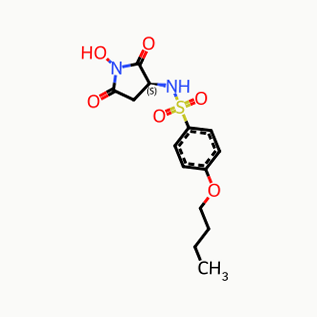 CCCCOc1ccc(S(=O)(=O)N[C@H]2CC(=O)N(O)C2=O)cc1